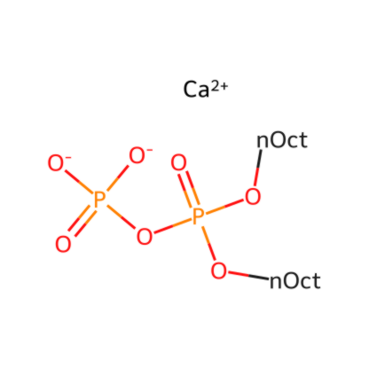 CCCCCCCCOP(=O)(OCCCCCCCC)OP(=O)([O-])[O-].[Ca+2]